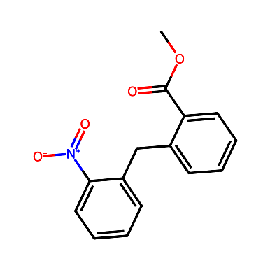 COC(=O)c1ccccc1Cc1ccccc1[N+](=O)[O-]